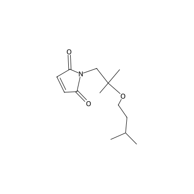 CC(C)CCOC(C)(C)CN1C(=O)C=CC1=O